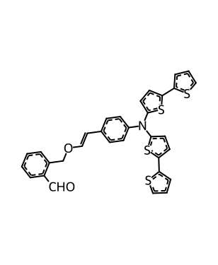 O=Cc1ccccc1COC=Cc1ccc(N(c2ccc(-c3cccs3)s2)c2ccc(-c3cccs3)s2)cc1